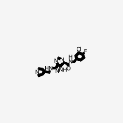 O=C(NCc1ccc(F)c(Cl)c1)c1ncnc2c(NCc3ccncc3)n[nH]c12